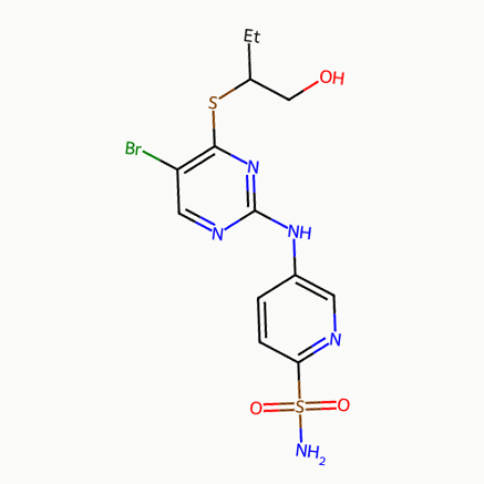 CCC(CO)Sc1nc(Nc2ccc(S(N)(=O)=O)nc2)ncc1Br